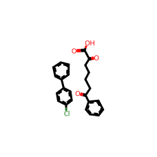 Clc1ccc(-c2ccccc2)cc1.O=C(O)C(=O)CCCCC(=O)c1ccccc1